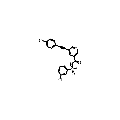 CS(=O)(=NC(=O)c1cncc(C#Cc2ccc(Cl)cc2)c1)c1cccc(Cl)c1